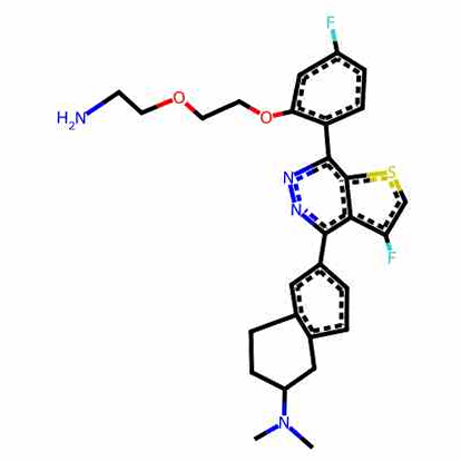 CN(C)C1CCc2cc(-c3nnc(-c4ccc(F)cc4OCCOCCN)c4scc(F)c34)ccc2C1